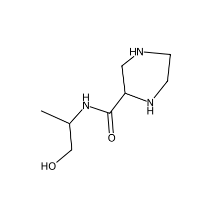 CC(CO)NC(=O)C1CNCCN1